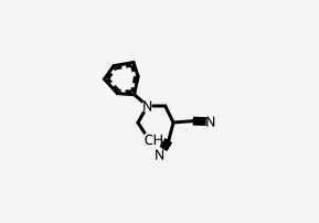 CCN(CC(C#N)C#N)c1ccccc1